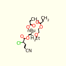 C=CC(=O)OCCCC.C=CC(=O)OCCOCC.C=COC(=O)C(Cl)C=CC#N